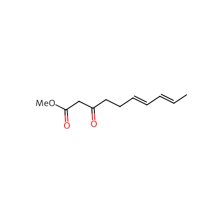 C/C=C/C=C/CCC(=O)CC(=O)OC